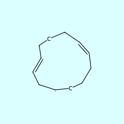 [CH]1C/C=C/CCC/C=C\CCC1